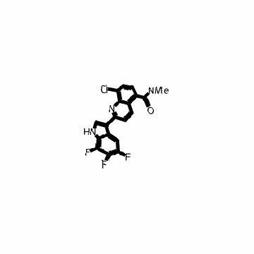 CNC(=O)c1ccc(Cl)c2nc(-c3c[nH]c4c(F)c(F)c(F)cc34)ccc12